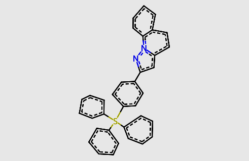 c1ccc(S(c2ccccc2)(c2ccccc2)c2ccc(-c3cc4ccc5ccccc5n4n3)cc2)cc1